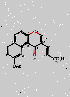 CC(=O)Oc1ccc2ccc3occ(C=CC(=O)O)c(=O)c3c2c1